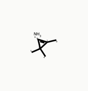 CC1=CC1(C)C.N